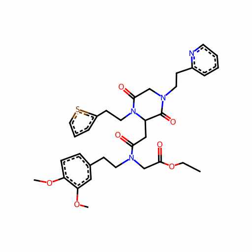 CCOC(=O)CN(CCc1ccc(OC)c(OC)c1)C(=O)CC1C(=O)N(CCc2ccccn2)CC(=O)N1CCc1cccs1